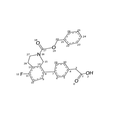 O=C(O)Cc1ccc(-c2ccc(F)c3c2CN(C(=O)OCc2ccccc2)CC3)cc1